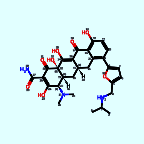 CC(C)NCc1ccc(-c2ccc(O)c3c2C[C@H]2C[C@H]4[C@@H](N(C)C)C(O)=C(C(N)=O)C(=O)[C@@]4(O)C(O)=C2C3=O)o1